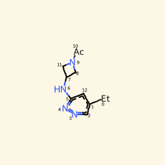 CCc1cnnc(NC2CN(C(C)=O)C2)c1